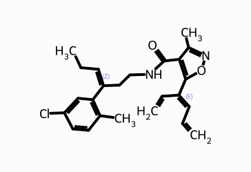 C=C/C=C(\C=C)c1onc(C)c1C(=O)NCC/C(=C/CC)c1cc(Cl)ccc1C